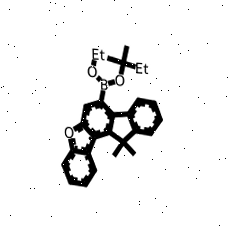 CCOB(OC(C)(C)CC)c1cc2oc3ccccc3c2c2c1-c1ccccc1C2(C)C